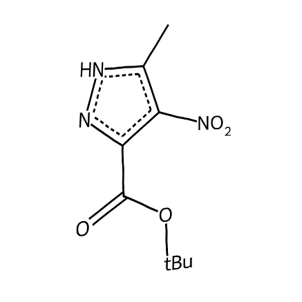 Cc1[nH]nc(C(=O)OC(C)(C)C)c1[N+](=O)[O-]